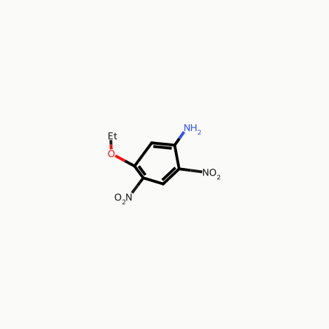 CCOc1cc(N)c([N+](=O)[O-])cc1[N+](=O)[O-]